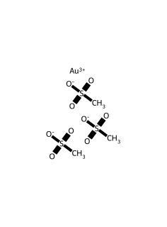 CS(=O)(=O)[O-].CS(=O)(=O)[O-].CS(=O)(=O)[O-].[Au+3]